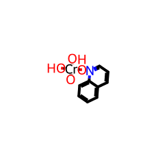 [O]=[Cr](=[O])([OH])[OH].c1ccc2ncccc2c1